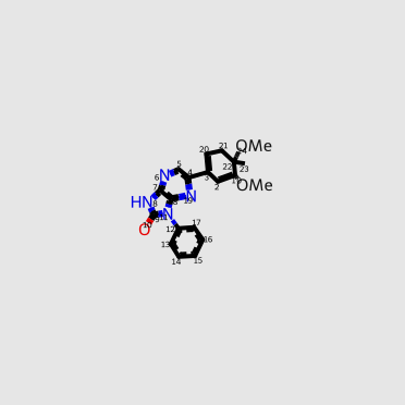 COC1=CC(c2cnc3[nH]c(=O)n(-c4ccccc4)c3n2)=CCC1(C)OC